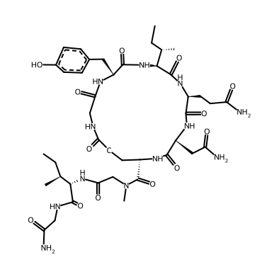 CC[C@H](C)[C@H](NC(=O)CN(C)C(=O)[C@@H]1CCC(=O)NCC(=O)N[C@@H](Cc2ccc(O)cc2)C(=O)N[C@@H]([C@@H](C)CC)C(=O)N[C@@H](CCC(N)=O)C(=O)N[C@@H](CC(N)=O)C(=O)N1)C(=O)NCC(N)=O